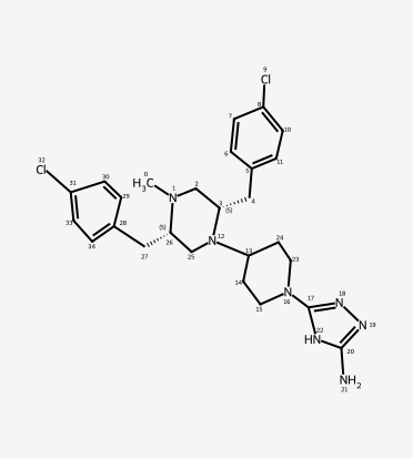 CN1C[C@H](Cc2ccc(Cl)cc2)N(C2CCN(c3nnc(N)[nH]3)CC2)C[C@@H]1Cc1ccc(Cl)cc1